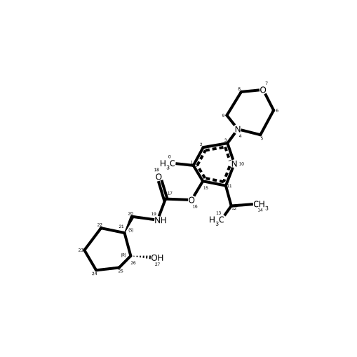 Cc1cc(N2CCOCC2)nc(C(C)C)c1OC(=O)NC[C@@H]1CCCC[C@H]1O